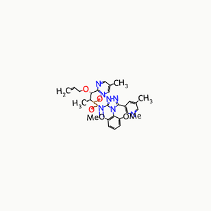 C=CCO[C@H](c1ncc(C)cn1)[C@H](C)S(=O)(=O)Nc1nnc(-c2cncc(C)c2)n1-c1c(OC)cccc1OC